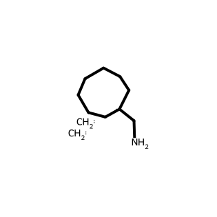 NC[C]1CCCCCCC1.[CH2].[CH2]